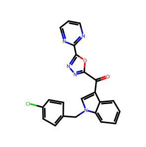 O=C(c1nnc(-c2ncccn2)o1)c1cn(Cc2ccc(Cl)cc2)c2ccccc12